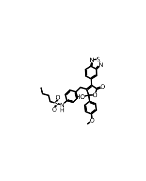 CCCCS(=O)(=O)Nc1ccc(CC2=C(c3ccc4nsnc4c3)C(=O)OC2(O)c2ccc(OC)cc2)cc1